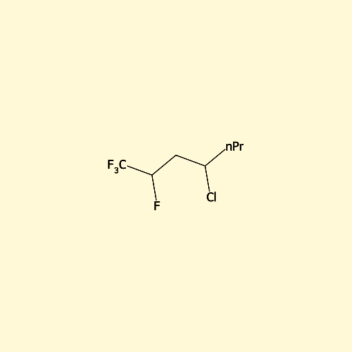 [CH2]CCC(Cl)CC(F)C(F)(F)F